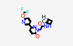 CC1(NC(=O)Cn2nc(-c3ccc(OC(F)F)nc3)ccc2=O)CCC1